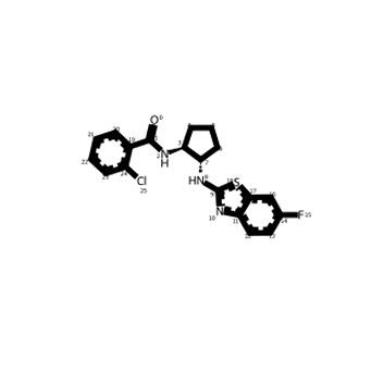 O=C(N[C@H]1CCC[C@@H]1Nc1nc2ccc(F)cc2s1)c1ccccc1Cl